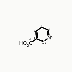 O=C(O)C1=CCC=NS1